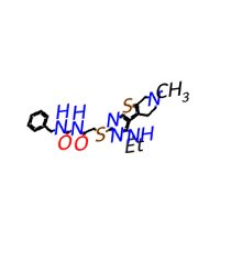 CCNc1nc(SCC(=O)NC(=O)NCc2ccccc2)nc2sc3c(c12)CCN(C)C3